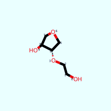 OCCO[C@H]1COCC1O